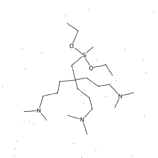 CCO[Si](C)(CC(CCCN(C)C)(CCCN(C)C)CCCN(C)C)OCC